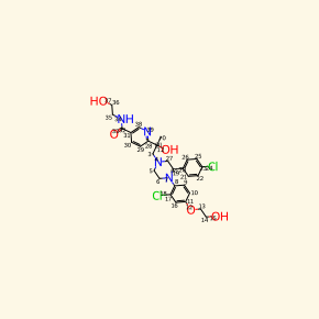 C[C@@](O)(CN1CCN(c2ccc(OCCO)cc2Cl)[C@H](c2ccc(Cl)cc2)C1)c1ccc(C(=O)NCCO)cn1